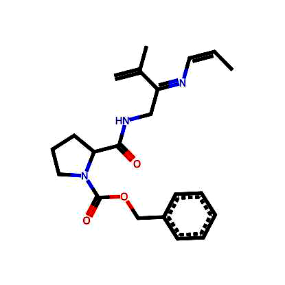 C=C(C)/C(CNC(=O)C1CCCN1C(=O)OCc1ccccc1)=N\C=C/C